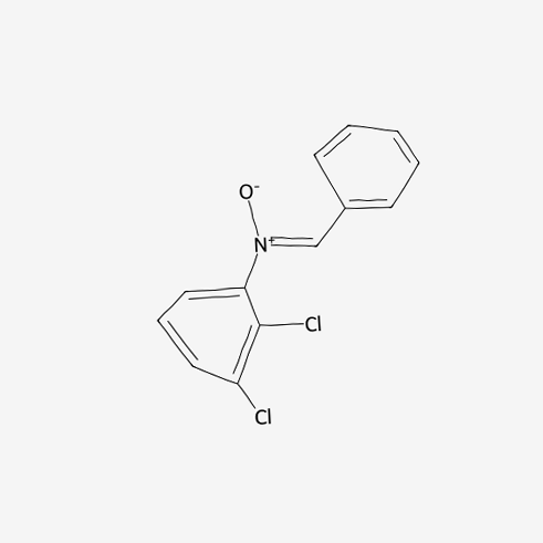 [O-][N+](=Cc1ccccc1)c1cccc(Cl)c1Cl